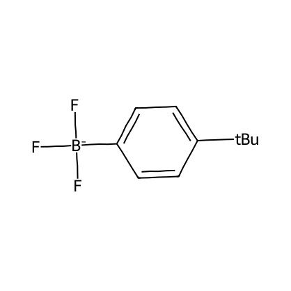 CC(C)(C)c1ccc([B-](F)(F)F)cc1